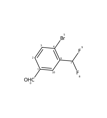 O=Cc1ccc(Br)c(C(F)F)c1